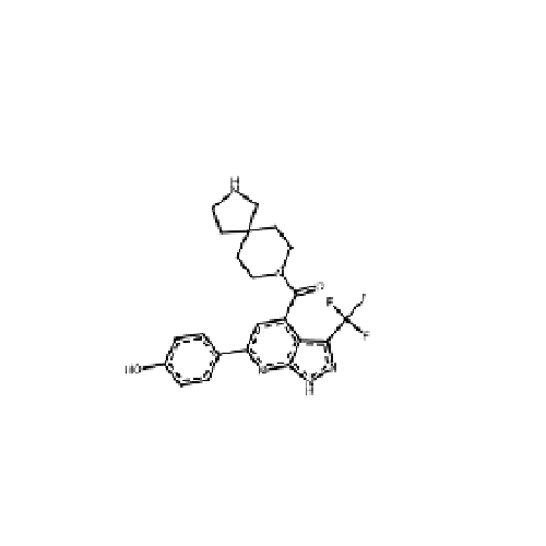 O=C(c1cc(-c2ccc(O)cc2)nc2[nH]nc(C(F)(F)F)c12)N1CCC2(CCNC2)CC1